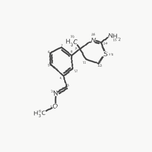 CO/N=C/c1cccc(C2(C)CCSC(N)=N2)c1